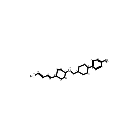 CCc1ccc(C2CCC(COC3CCC(C=CC=CC#N)CC3)CC2)cc1